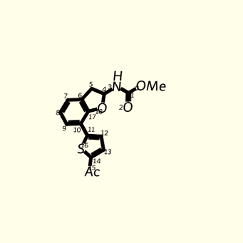 COC(=O)NC1Cc2cccc(-c3ccc(C(C)=O)s3)c2O1